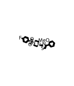 COc1ccccc1-c1csc(N2CCN(S(=O)(=O)c3ccc(F)cc3)CC2)n1